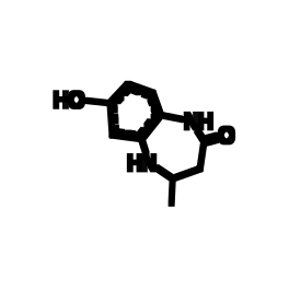 CC1CC(=O)Nc2ccc(O)cc2N1